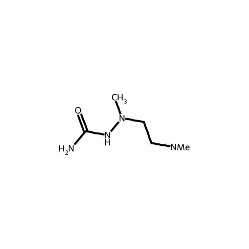 CNCCN(C)NC(N)=O